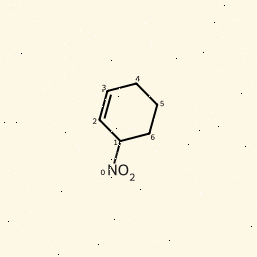 O=[N+]([O-])C1C=[C]CCC1